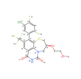 COCCO[C@@H]1CSc2c(-c3cc(Cl)c(F)cc3F)c(C(F)(F)F)cc3c(=O)[nH]c(=O)n(c23)C1